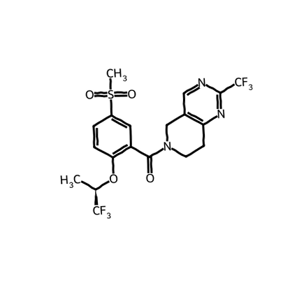 C[C@@H](Oc1ccc(S(C)(=O)=O)cc1C(=O)N1CCc2nc(C(F)(F)F)ncc2C1)C(F)(F)F